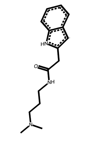 CN(C)CCCNC(=O)Cc1[c]c2ccccc2[nH]1